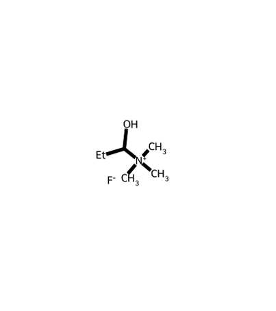 CCC(O)[N+](C)(C)C.[F-]